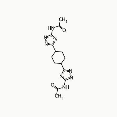 CC(=O)Nc1nnc(C2CCC(c3nnc(NC(C)=O)s3)CC2)s1